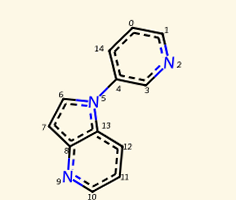 c1cncc(-n2ccc3ncccc32)c1